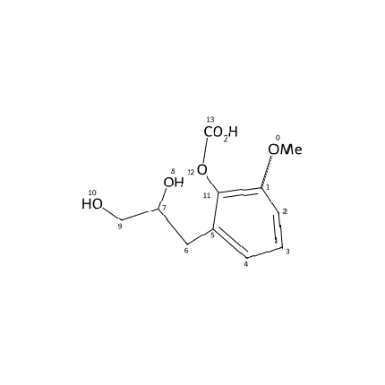 COc1cccc(CC(O)CO)c1OC(=O)O